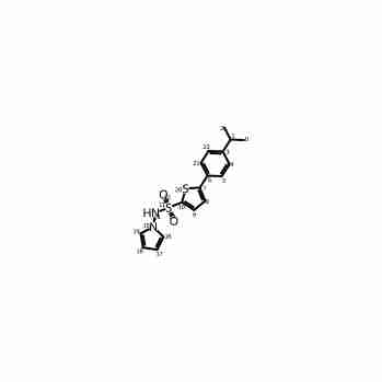 CC(C)c1ccc(-c2ccc(S(=O)(=O)Nn3cccc3)s2)cc1